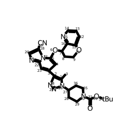 Cc1c(-c2cc(OC3CCOc4cccnc43)n3c(C#N)cnc3c2)nnn1C1CCN(C(=O)OC(C)(C)C)CC1